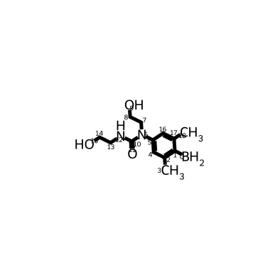 Bc1c(C)cc(N(CCO)C(=O)NCCO)cc1C